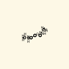 c1cc(Oc2ccc(-c3ccc4[nH]c([C@@H]5C[C@H]6C[C@H]6N5)nc4c3)cc2)c2nc([C@@H]3C[C@H]4C[C@H]4N3)[nH]c2c1